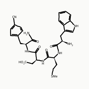 CSCC[C@H](NC(=O)[C@H](N)Cc1c[nH]c2ccccc12)C(=O)N[C@@H](CC(=O)O)C(=O)N[C@@H](Cc1ccc(C#N)cc1)C(N)=O